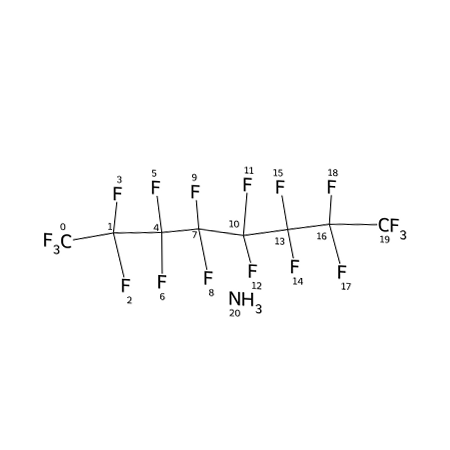 FC(F)(F)C(F)(F)C(F)(F)C(F)(F)C(F)(F)C(F)(F)C(F)(F)C(F)(F)F.N